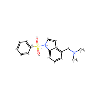 CN(C)Cc1cccc2c1ccn2S(=O)(=O)c1ccccc1